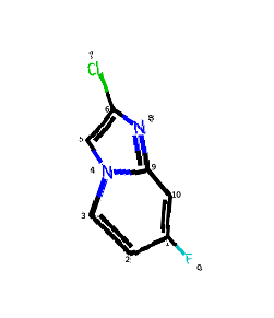 Fc1ccn2cc(Cl)nc2c1